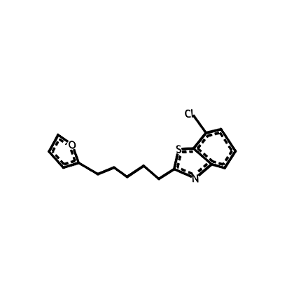 Clc1cccc2nc(CCCCCc3ccco3)sc12